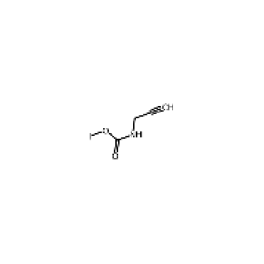 C#CCNC(=O)OI